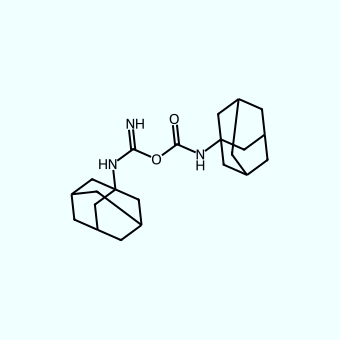 N=C(NC12CC3CC(CC(C3)C1)C2)OC(=O)NC12CC3CC(CC(C3)C1)C2